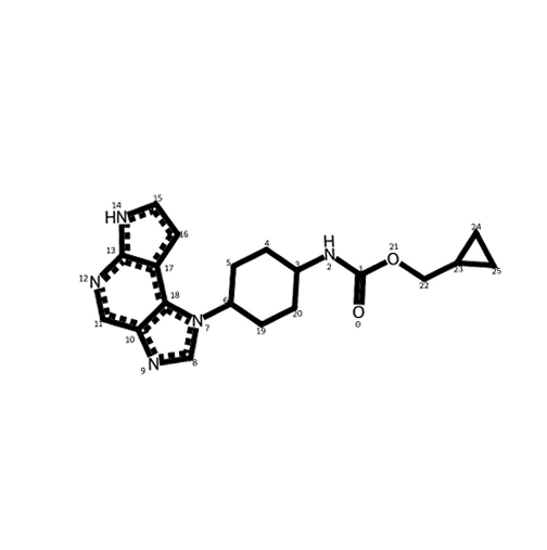 O=C(NC1CCC(n2cnc3cnc4[nH]ccc4c32)CC1)OCC1CC1